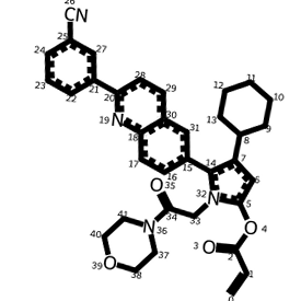 C=CC(=O)Oc1cc(C2CCCCC2)c(-c2ccc3nc(-c4cccc(C#N)c4)ccc3c2)n1CC(=O)N1CCOCC1